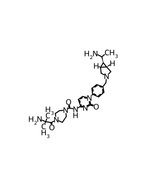 CC(N)[C@H]1[C@@H]2CN(Cc3ccc(-n4ccc(NC(=O)N5CCN(C(=O)C(C)(C)N)CC5)nc4=O)cc3)C[C@@H]21